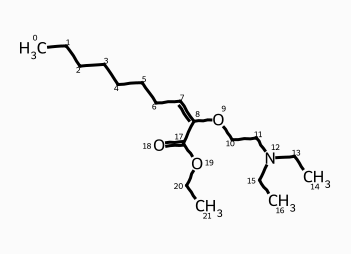 CCCCCCC/C=C(/OCCN(CC)CC)C(=O)OCC